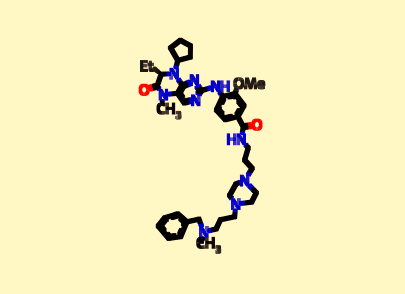 CC[C@@H]1C(=O)N(C)c2cnc(Nc3ccc(C(=O)NCCCN4CCN(CCCN(C)Cc5ccccc5)CC4)cc3OC)nc2N1C1CCCC1